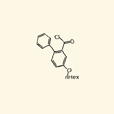 CCCCCCOc1ccc(-c2ccccc2)c(C(=O)Cl)c1